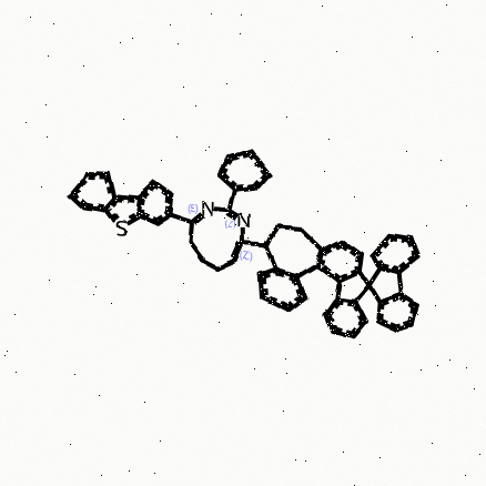 C1=C(C2CCc3ccc4c(c3-c3ccccc32)-c2ccccc2C42c3ccccc3-c3ccccc32)/N=C(c2ccccc2)\N=C(\c2ccc3c(c2)sc2ccccc23)CCC\1